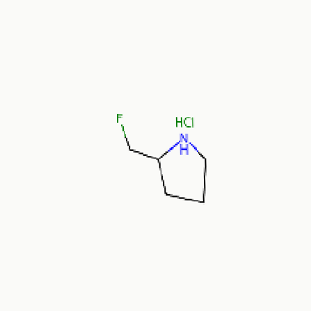 Cl.FCC1CCCN1